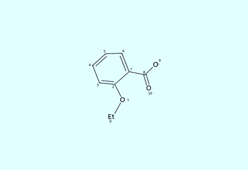 CCOc1ccccc1C([O])=O